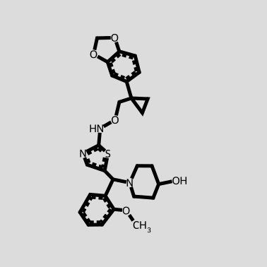 COc1ccccc1C(c1cnc(NOCC2(c3ccc4c(c3)OCO4)CC2)s1)N1CCC(O)CC1